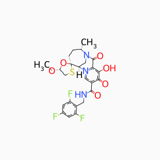 CO[C@H]1CS[C@@]2(CC[C@H](C)N3C[C@H]2n2cc(C(=O)NCc4c(F)cc(F)cc4F)c(=O)c(O)c2C3=O)O1